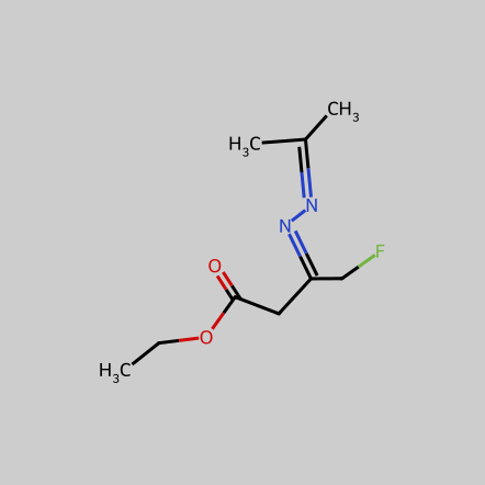 CCOC(=O)CC(CF)=NN=C(C)C